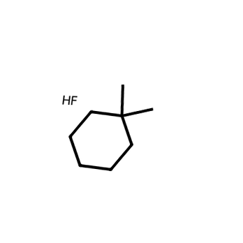 CC1(C)CCCCC1.F